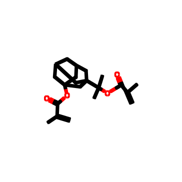 C=C(C)C(=O)OC12CC3CC(C1)CC(C(C)(C)OC(=O)C(=C)C)(C3)C2